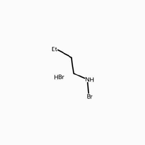 Br.CCCCNBr